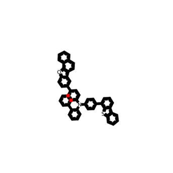 c1ccc(-c2ccccc2N(c2ccc(-c3ccc4oc5c6ccccc6ccc5c4c3)cc2)c2ccc(-c3cccc4c3sc3ccccc34)cc2)cc1